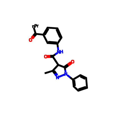 CCCC(=O)c1cccc(NC(=O)C2C(=O)N(c3ccccc3)N=C2C)c1